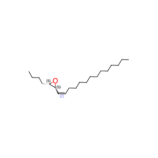 CCCCCCCCCCCC/C=C\[C@@H]1O[C@H]1CCCC